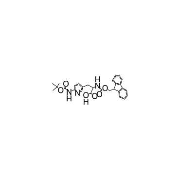 CC(C)(C)OC(=O)Nc1ccc(CC(NC(=O)OCC2c3ccccc3-c3ccccc32)C(=O)O)cn1